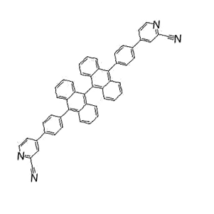 N#Cc1cc(-c2ccc(-c3c4ccccc4c(-c4c5ccccc5c(-c5ccc(-c6ccnc(C#N)c6)cc5)c5ccccc45)c4ccccc34)cc2)ccn1